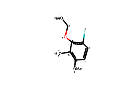 COCOc1c(F)ccc(OC)c1C